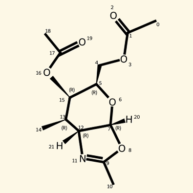 CC(=O)OC[C@H]1O[C@@H]2OC(C)=N[C@@H]2[C@@H](C)[C@H]1OC(C)=O